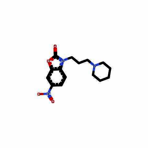 O=c1oc2cc([N+](=O)[O-])ccc2n1CCCN1CCCCC1